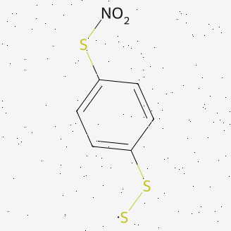 O=[N+]([O-])Sc1ccc(S[S])cc1